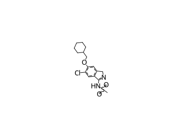 CS(=O)(=O)NC1=NCc2cc(OCC3CCCCC3)c(Cl)cc21